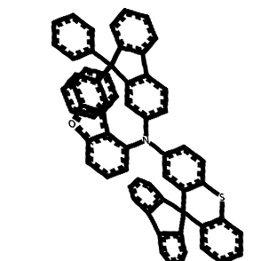 c1ccc(C2(c3ccccc3)c3ccccc3-c3ccc(N(c4ccc5c(c4)C4(c6ccccc6S5)c5ccccc5-c5ccccc54)c4cccc5oc6ccccc6c45)cc32)cc1